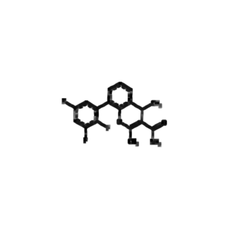 CC1=C(C(N)=O)C(C)c2cccc(-c3cc(F)cc(F)c3F)c2O1